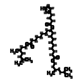 CC(C)CCC(C)CCOC(=O)CCCCCCCCC(CCCCCCCC(=O)OCCC(C)CCC(C)C)OC(=O)CCCN1C=CNC1